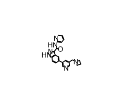 O=C(Nc1ccccn1)c1n[nH]c2ccc(-c3cncc(CN4CCC4)c3)cc12